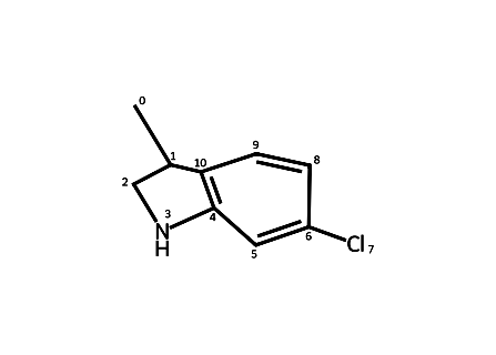 CC1CNc2cc(Cl)ccc21